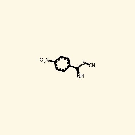 N#CSC(=N)c1ccc([N+](=O)[O-])cc1